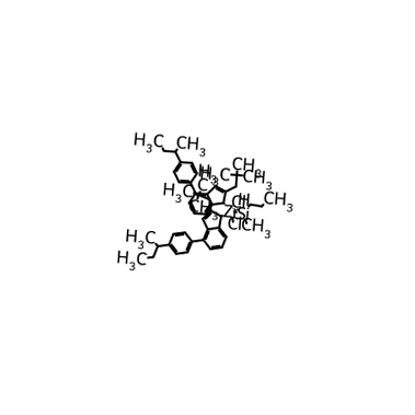 CCC[SiH](C)[Zr]([Cl])([Cl])([CH]1C(CC(C)(C)C)=Cc2c(-c3ccc(C(C)CC)cc3)cccc21)[CH]1C(CC(C)(C)C)=Cc2c(-c3ccc(C(C)CC)cc3)cccc21